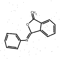 C=C1O/C(=N\c2ccccc2)c2ccccc21